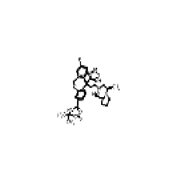 C=C(CNCCC1(c2nnn[nH]2)c2ccc(F)cc2CCc2cc(C(=O)NC(C)(C)C)ccc21)N1CCCC1C#N